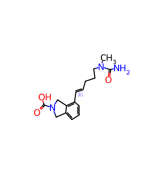 CN(CCC/C=C/c1cccc2c1CN(C(=O)O)C2)C(N)=O